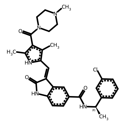 Cc1[nH]c(C=C2C(=O)Nc3ccc(C(=O)N[C@H](C)c4cccc(Cl)c4)cc32)c(C)c1C(=O)N1CCN(C)CC1